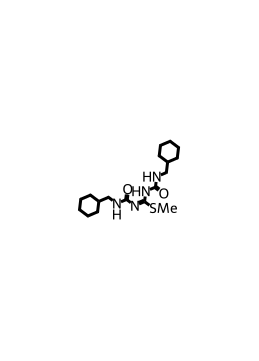 CSC(=NC(=O)NCC1CCCCC1)NC(=O)NCC1CCCCC1